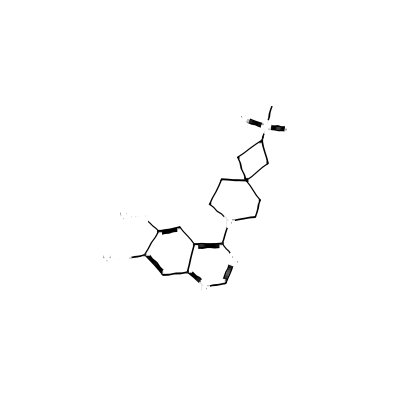 COc1cc2ncnc(N3CCC4(CC3)CC(S(C)(=N)=O)C4)c2cc1OC